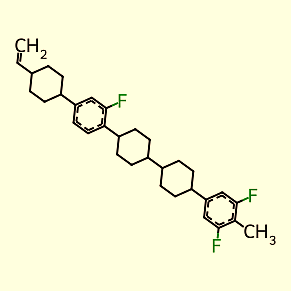 C=CC1CCC(c2ccc(C3CCC(C4CCC(c5cc(F)c(C)c(F)c5)CC4)CC3)c(F)c2)CC1